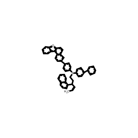 C/C=C\C(CCN(c1ccc(-c2ccccc2)cc1)c1ccc(-c2ccc3c(ccc4oc5ccccc5c43)c2)cc1)c1cccc2ccccc12